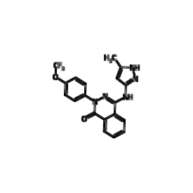 Cc1cc(Nc2nn(-c3ccc(OC(F)(F)F)cc3)c(=O)c3ccccc23)n[nH]1